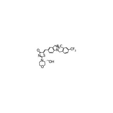 O=C1N=C(N2CCOC[C@H]2CO)S/C1=C\c1ccc2c(cnn2Cc2ccc(C(F)(F)F)cc2C(F)(F)F)c1